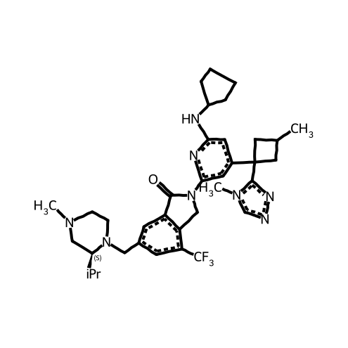 CC1CC(c2cc(NC3CCCC3)nc(N3Cc4c(cc(CN5CCN(C)C[C@@H]5C(C)C)cc4C(F)(F)F)C3=O)c2)(c2nncn2C)C1